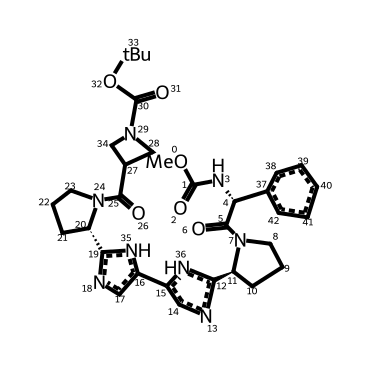 COC(=O)N[C@@H](C(=O)N1CCC[C@H]1c1ncc(-c2cnc([C@@H]3CCCN3C(=O)C3CN(C(=O)OC(C)(C)C)C3)[nH]2)[nH]1)c1ccccc1